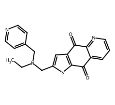 CCN(Cc1ccncc1)Cc1cc2c(s1)C(=O)c1cccnc1C2=O